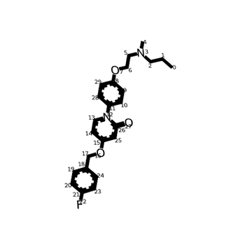 CCCN(C)CCOc1ccc(-n2ccc(OCc3ccc(F)cc3)cc2=O)cc1